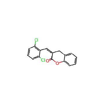 O=C1Oc2ccccc2C/C1=C/c1c(Cl)cccc1Cl